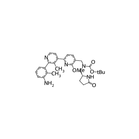 COc1nc(-c2ccnc(-c3cccc(N)c3C)c2C)ccc1CN(C[C@@H]1CCC(=O)N1)C(=O)OC(C)(C)C